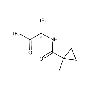 CC(C)(C)C(=O)[C@@H](NC(=O)C1(C)CC1)C(C)(C)C